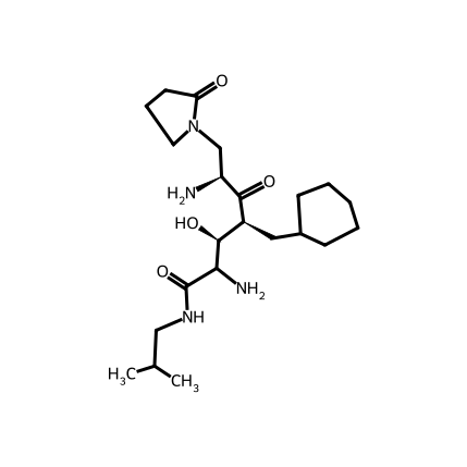 CC(C)CNC(=O)C(N)[C@@H](O)[C@H](CC1CCCCC1)C(=O)[C@@H](N)CN1CCCC1=O